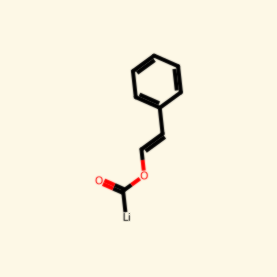 [Li][C](=O)OC=Cc1ccccc1